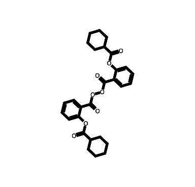 O=C(OOC(=O)c1ccccc1OC(=O)C1CCCCC1)c1ccccc1OC(=O)C1CCCCC1